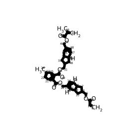 C=CC(=O)OCC1CC2C(C1)[C@@H]1C[C@H]2CC1COC(=O)C1C2C=C(C)C(C2)C1C(=O)OCC1CC2C3CC(CC3COC(=O)C(=C)C)[C@H]2C1